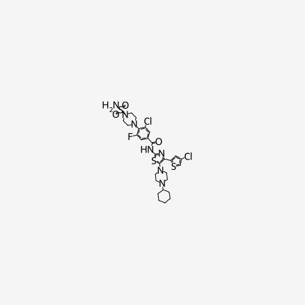 NS(=O)(=O)N1CCN(c2c(F)cc(C(=O)Nc3nc(-c4cc(Cl)cs4)c(N4CCN(C5CCCCC5)CC4)s3)cc2Cl)CC1